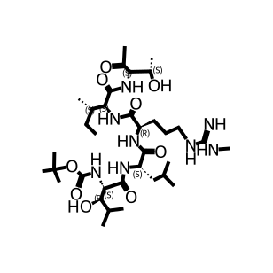 CC[C@H](C)[C@H](NC(=O)[C@@H](CCCNC(=N)NC)NC(=O)[C@H](CC(C)C)NC(=O)[C@@H](NC(=O)OC(C)(C)C)[C@H](O)C(C)C)C(=O)N[C@H](C(C)=O)[C@H](C)O